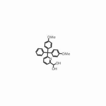 COc1ccc(C(c2ccccc2)(c2ccc(OC)cc2)c2cccc(C(O)O)n2)cc1